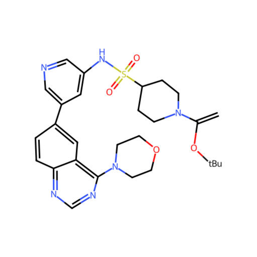 C=C(OC(C)(C)C)N1CCC(S(=O)(=O)Nc2cncc(-c3ccc4ncnc(N5CCOCC5)c4c3)c2)CC1